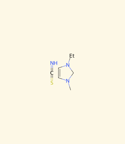 CCN1C=CN(C)C1.N=C=S